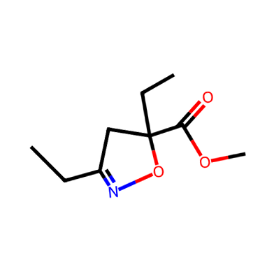 CCC1=NOC(CC)(C(=O)OC)C1